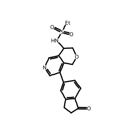 CCS(=O)(=O)NC1COCc2c(-c3ccc4c(c3)CCC4=O)cncc21